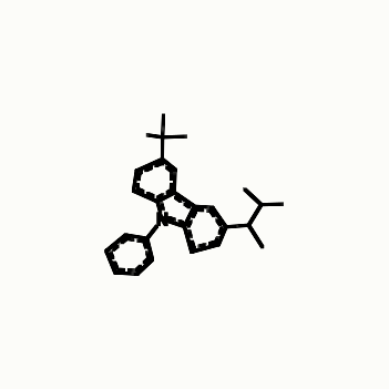 CC(C)C(C)c1ccc2c(c1)c1cc(C(C)(C)C)ccc1n2-c1ccccc1